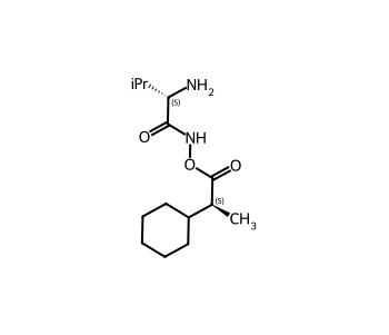 CC(C)[C@H](N)C(=O)NOC(=O)[C@@H](C)C1CCCCC1